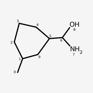 CC1CCCC(C(N)O)C1